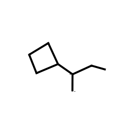 [CH2][C](CC)C1CCC1